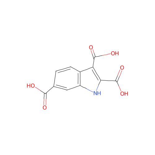 O=C(O)c1ccc2c(C(=O)O)c(C(=O)O)[nH]c2c1